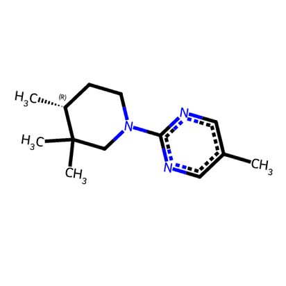 Cc1cnc(N2CC[C@@H](C)C(C)(C)C2)nc1